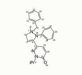 CC(C)n1nc(C2=CC[N+](C)(Cc3ccccc3)N2c2ccccc2)ccc1=O